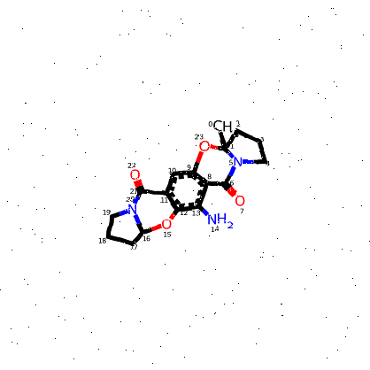 CC12CCCN1C(=O)c1c(cc3c(c1N)OC1CCCN1C3=O)O2